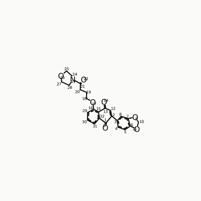 O=C1C(c2ccc3c(c2)OCO3)=CC(=O)c2c(OCCCC(=O)N3CCOCC3)cccc21